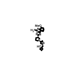 COc1cccc2c1nc(N)n1nc([C@@H]3CCCN(c4cnn(CC5(O)CCC5)c4)C3)nc21